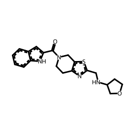 O=C(c1cc2ccccc2[nH]1)N1CCc2nc(CNC3CCOC3)sc2C1